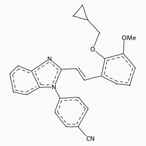 COc1cccc(C=Cc2nc3ccccc3n2-c2ccc(C#N)cc2)c1OCC1CC1